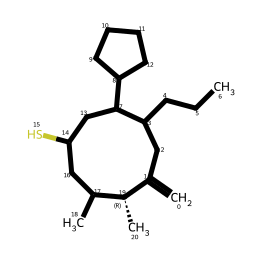 C=C1CC(CCC)C(C2CCCC2)CC(S)CC(C)[C@H]1C